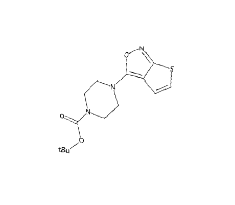 CC(C)(C)OC(=O)N1CCN(c2onc3sccc23)CC1